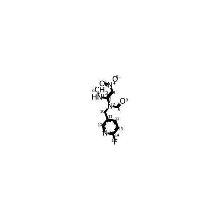 CNC(=C[N+](=O)[O-])N(C=O)Cc1ccc(F)nc1